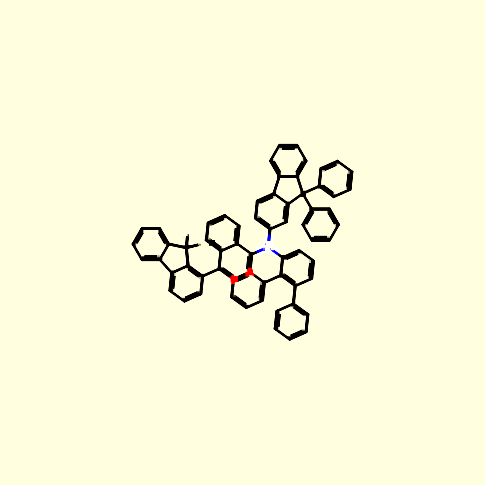 CC1(C)c2ccccc2-c2cccc(-c3ccc(N(c4ccc5c(c4)C(c4ccccc4)(c4ccccc4)c4ccccc4-5)c4cccc(-c5ccccc5)c4-c4ccccc4)c4ccccc34)c21